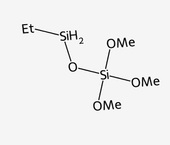 CC[SiH2]O[Si](OC)(OC)OC